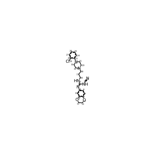 N#CNC(=Nc1ccc2c(c1)OCCO2)NCCCN1CCN(c2ccccc2Cl)CC1